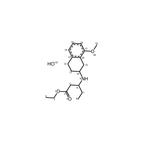 CCOC(=O)CC(CC)NC1CCc2cccc(OC)c2C1.Cl